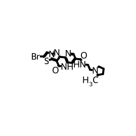 CC1CCCN1CCNC(=O)c1cnc2c(c1)[nH]c(=O)c1c2nn2cc(Br)sc12